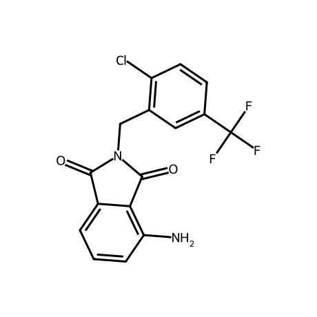 Nc1cccc2c1C(=O)N(Cc1cc(C(F)(F)F)ccc1Cl)C2=O